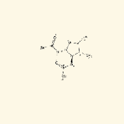 CCCC1O[C@@H](OC(=O)C(C)(C)C)[C@H](OC(=O)C(C)(C)C)[C@H]1C